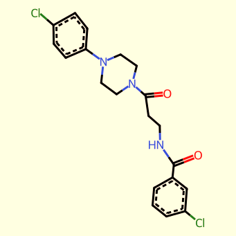 O=C(NCCC(=O)N1CCN(c2ccc(Cl)cc2)CC1)c1cccc(Cl)c1